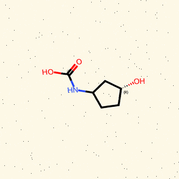 O=C(O)NC1CC[C@@H](O)C1